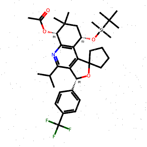 CC(=O)O[C@H]1c2nc(C(C)C)c3c(c2[C@@H](O[Si](C)(C)C(C)(C)C)CC1(C)C)C1(CCCC1)O[C@@H]3c1ccc(C(F)(F)F)cc1